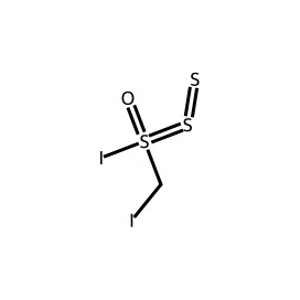 O=S(I)(CI)=S=S